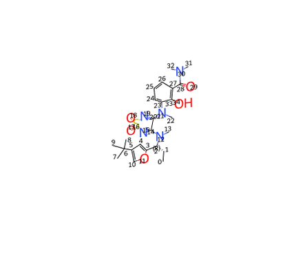 CC[C@H](c1cc(C(C)(C)C)co1)N(C)C1=NS(=O)(=O)N=C1N(C)c1cccc(C(=O)N(C)C)c1O